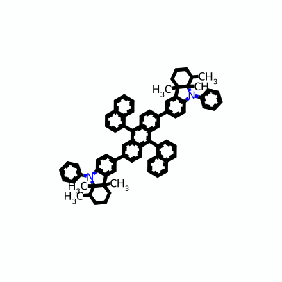 CC1CCCC2(C)c3cc(-c4ccc5c(-c6cccc7ccccc67)c6cc(-c7ccc8c(c7)C7(C)CCCC(C)C7(C)N8c7ccccc7)ccc6c(-c6cccc7ccccc67)c5c4)ccc3N(c3ccccc3)C12C